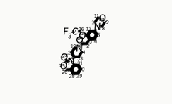 O=C(Cc1ccc(N2CCOCC2)cc1OCC(F)(F)F)N1CCC(N2C(=O)OCc3ccccc32)CC1